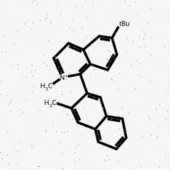 Cc1cc2ccccc2cc1-c1c2ccc(C(C)(C)C)cc2cc[n+]1C